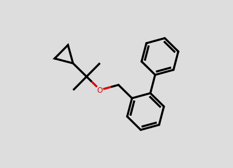 CC(C)(OCc1ccccc1-c1ccccc1)C1CC1